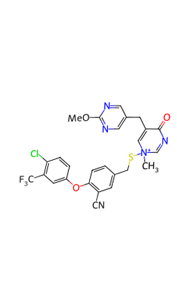 COc1ncc(CC2=C[N+](C)(SCc3ccc(Oc4ccc(Cl)c(C(F)(F)F)c4)c(C#N)c3)C=NC2=O)cn1